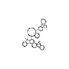 CC1(C)c2ccccc2-c2c1c(-c1ccccccc(-c3ccc4oc5ccccc5c4c3)c3ccccc13)cc1c2ccc2c3ccccc3sc12